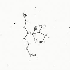 CCCCCCOCCOCCO.CCOCC.OCCO